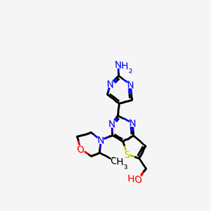 CC1COCCN1c1nc(-c2cnc(N)nc2)nc2cc(CO)sc12